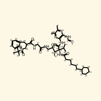 Cc1nc(NC=O)c(NC(=O)[C@](NC(=O)CCCCCC2CCCCC2)(C(C)C)[C@@H](C)C(O)CNC(=O)CNC(=O)C(Cc2ccccc2)CS(=O)(=O)C(C)(C)C)nc1C